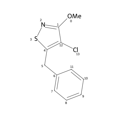 COc1nsc(Cc2ccccc2)c1Cl